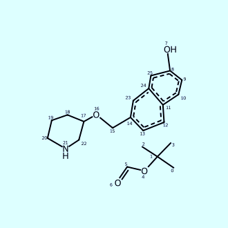 CC(C)(C)OC=O.Oc1ccc2ccc(COC3CCCNC3)cc2c1